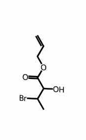 C=CCOC(=O)C(O)C(C)Br